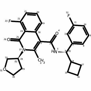 Cc1c(C(=O)N[C@H](c2cccc(F)c2)C2CCC2)c2cccc(F)c2c(=O)n1[C@H]1CCOC1